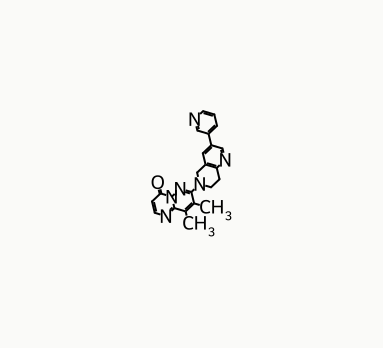 Cc1c(N2CCc3ncc(-c4cccnc4)cc3C2)nn2c(=O)ccnc2c1C